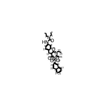 CCN(CC)C(=O)Nc1ccc(CC(C(=O)NS(=O)(=O)c2ccc3ccccc3c2)C(=O)N(CC)CC)cc1